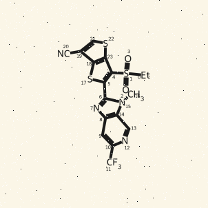 CCS(=O)(=O)c1c(-c2nc3cc(C(F)(F)F)ncc3n2C)sc2c(C#N)csc12